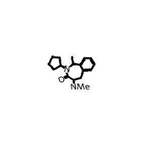 CNC1Cc2ccccc2C(C)N(C2CCCC2)C1=O